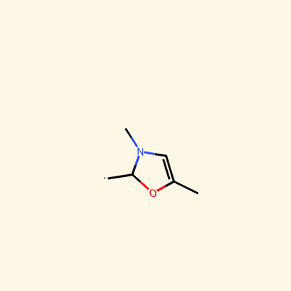 [CH2]C1OC(C)=CN1C